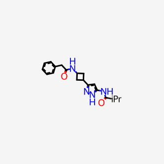 CC(C)C(=O)Nc1cc(C2CC(NC(=O)Cc3ccccc3)C2)n[nH]1